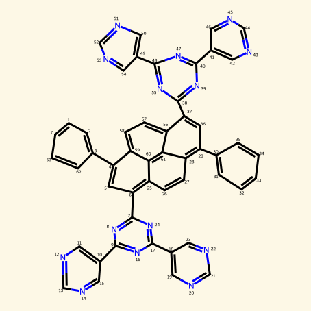 c1ccc(-c2cc(-c3nc(-c4cncnc4)nc(-c4cncnc4)n3)c3ccc4c(-c5ccccc5)cc(-c5nc(-c6cncnc6)nc(-c6cncnc6)n5)c5ccc2c3c45)cc1